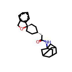 O=C(C[C@H]1CC[C@@]2(CC1)OCc1ccccc12)NC12CC3CC(CC(C3)C1)C2